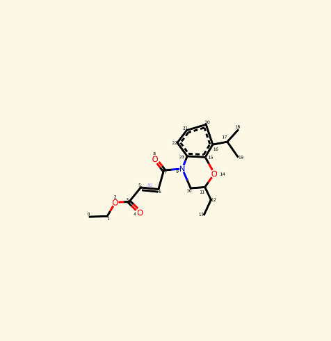 CCOC(=O)/C=C/C(=O)N1CC(CC)Oc2c(C(C)C)cccc21